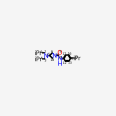 CC(C)CN(CC(C)C)C1CN(C(=O)Nc2ccc(C(C)C)cc2)C1